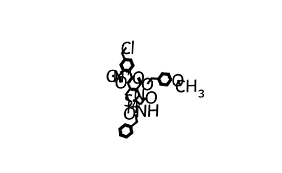 COc1ccc(COC(=O)C2=C(C=Cc3ccc(CCl)cc3[N+](=O)[O-])CS[C@H]3C(NC(=O)Cc4ccccc4)C(=O)N23)cc1